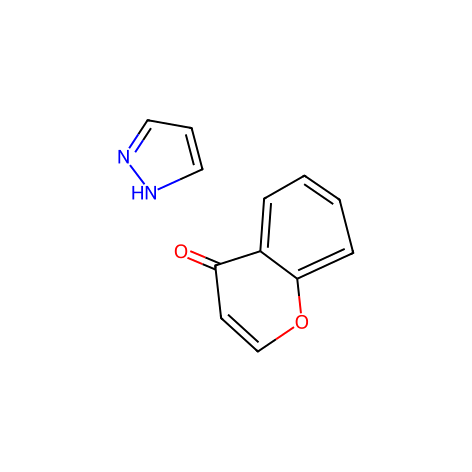 O=c1ccoc2ccccc12.c1cn[nH]c1